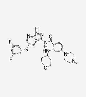 CN1CCN(c2ccc(C(=O)Nc3n[nH]c4ncc(Sc5cc(F)cc(F)c5)cc34)c(NC3CCOCC3)c2)CC1